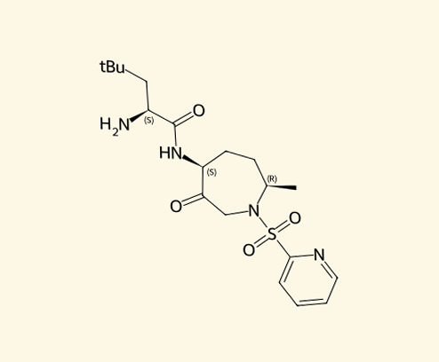 C[C@@H]1CC[C@H](NC(=O)[C@@H](N)CC(C)(C)C)C(=O)CN1S(=O)(=O)c1ccccn1